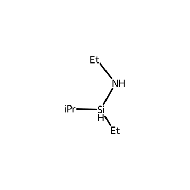 CCN[SiH](CC)C(C)C